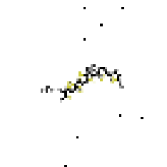 CCCCCCCCCCc1c(C)sc2c1sc1c2sc2c3sc(-c4ccc(-c5ccc(C)s5)s4)c(CCCCCCCCCC)c3sc21